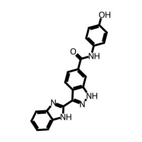 O=C(Nc1ccc(O)cc1)c1ccc2c(-c3nc4ccccc4[nH]3)n[nH]c2c1